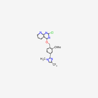 COc1cc(-c2nc(C(F)(F)F)cn2C)ccc1COc1nc(Cl)nc2ncccc12